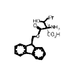 CC(C)C(O)[C@](N)(C(=O)O)C(=O)OCC1c2ccccc2-c2ccccc21